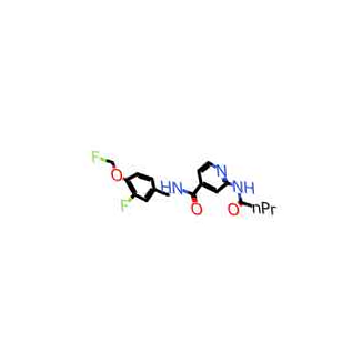 CCCC(=O)Nc1cc(C(=O)NCc2ccc(OCF)c(F)c2)ccn1